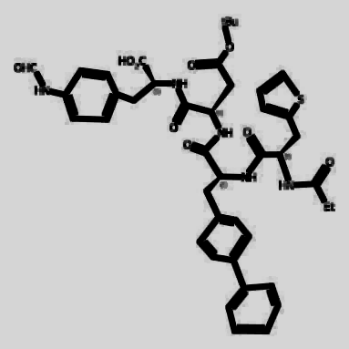 CCC(=O)N[C@H](Cc1cccs1)C(=O)N[C@@H](Cc1ccc(-c2ccccc2)cc1)C(=O)N[C@H](CC(=O)OC(C)(C)C)C(=O)N[C@@H](Cc1ccc(NC=O)cc1)C(=O)O